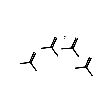 C=C(C)C.C=C(C)C.C=C(C)C.C=C(C)C.[C]